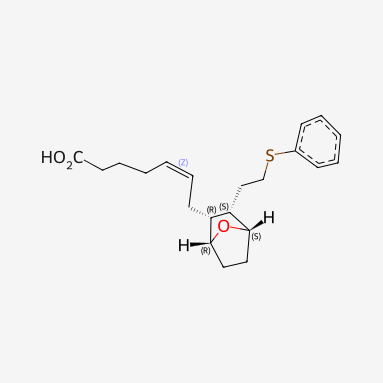 O=C(O)CCC/C=C\C[C@@H]1[C@H](CCSc2ccccc2)[C@@H]2CC[C@H]1O2